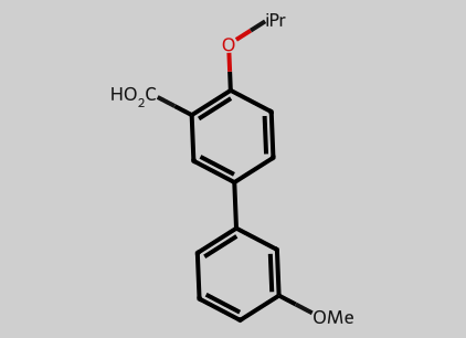 COc1cccc(-c2ccc(OC(C)C)c(C(=O)O)c2)c1